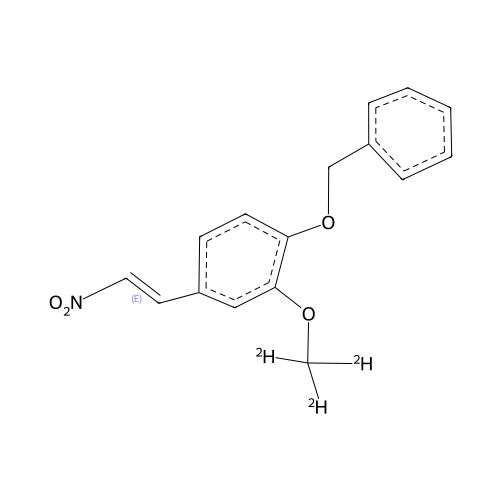 [2H]C([2H])([2H])Oc1cc(/C=C/[N+](=O)[O-])ccc1OCc1ccccc1